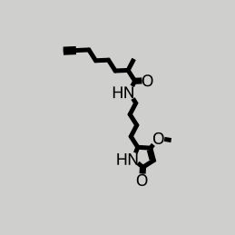 C#CCCCCC(C)C(=O)NCCCCC1NC(=O)C=C1OC